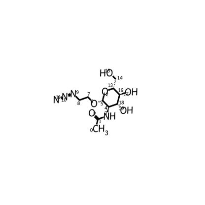 CC(=O)N[C@H]1[C@H](OCCN=[N+]=[N-])O[C@H](CO)[C@@H](O)[C@@H]1O